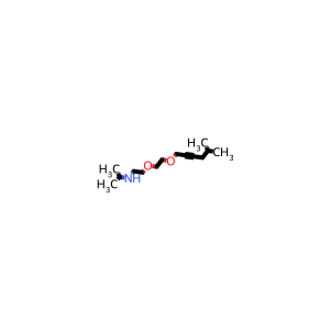 CC(C)CC#CCOCCOCCNC(C)C